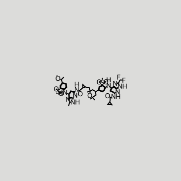 COC(C)c1ccc(Nc2cc(NC(=O)C3CC3CC3(C)CC(c4ccc(Nc5cc(NC(=O)C6CC6)nc6[nH]c(C(F)F)nc56)c(S(C)(=O)=O)c4)CC(C)(C)O3)nc3[nH]c(C)nc23)c(S(C)(=O)=O)c1